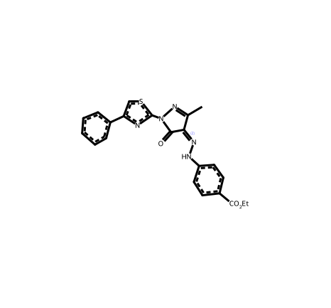 CCOC(=O)c1ccc(N/N=C2\C(=O)N(c3nc(-c4ccccc4)cs3)N=C2C)cc1